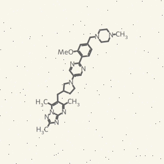 COc1cc(CN2CCN(C)CC2)ccc1-c1ncc(N2CCC(Cc3c(C)nc4nc(C)nn4c3C)C2)cn1